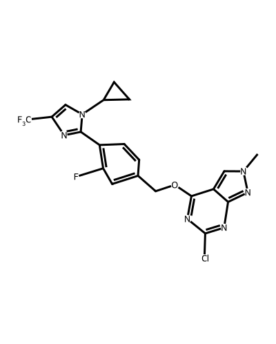 Cn1cc2c(OCc3ccc(-c4nc(C(F)(F)F)cn4C4CC4)c(F)c3)nc(Cl)nc2n1